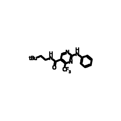 CC(C)(C)CCNC(=O)c1cnc(Nc2ccccc2)nc1C(F)(F)F